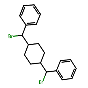 BrC(c1ccccc1)C1CCC(C(Br)c2ccccc2)CC1